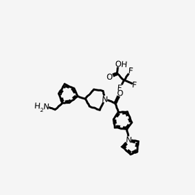 NCc1cccc(C2CCN(C(=O)c3ccc(-n4cccc4)cc3)CC2)c1.O=C(O)C(F)(F)F